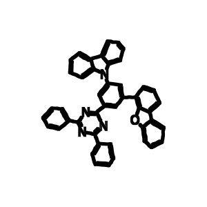 c1ccc(-c2nc(-c3ccccc3)nc(-c3cc(-c4cccc5c4oc4ccccc45)cc(-n4c5ccccc5c5ccccc54)c3)n2)cc1